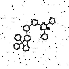 c1ccc(C2=NC(c3cccc(-c4cccc(-c5ccc6c(c5)C(c5ccccc5)(c5ccccc5)c5ccccc5-6)c4)c3)=NC(c3ccccc3)N2)cc1